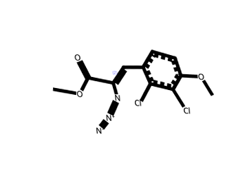 COC(=O)/C(=C/c1ccc(OC)c(Cl)c1Cl)N=[N+]=[N-]